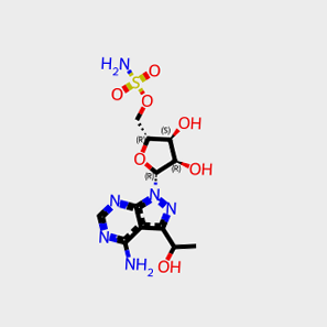 CC(O)c1nn([C@@H]2O[C@H](COS(N)(=O)=O)[C@@H](O)[C@H]2O)c2ncnc(N)c12